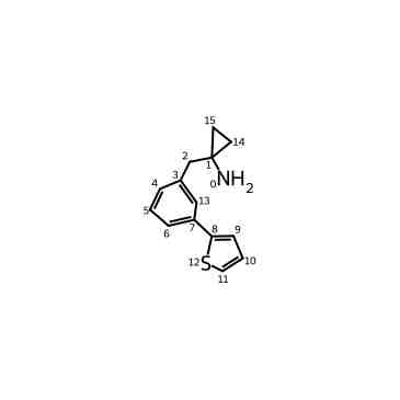 NC1(Cc2cccc(-c3cccs3)c2)CC1